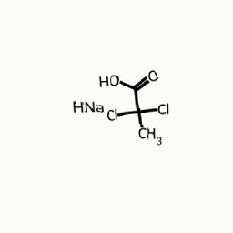 CC(Cl)(Cl)C(=O)O.[NaH]